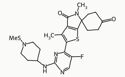 CSN1CCC(Nc2ncc(F)c(-c3sc4c(c3C)C(=O)N(C)C43CCC(=O)CC3)n2)CC1